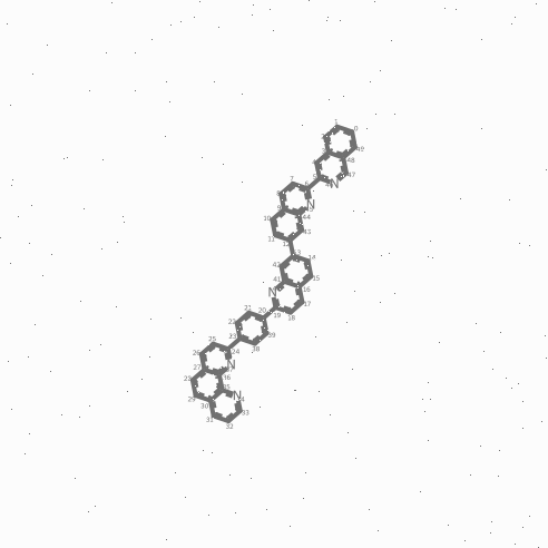 c1ccc2cc(-c3ccc4ccc(-c5ccc6ccc(-c7ccc(-c8ccc9ccc%10cccnc%10c9n8)cc7)nc6c5)cc4n3)ncc2c1